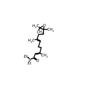 CCN(CC)C(=O)C=C(C)CCC=C(C)CCC1(C)OC1(C)C